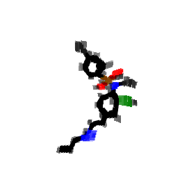 C=CCNCCc1ccc(N(CCC)S(=O)(=O)c2ccc(C(C)C)cc2)cc1.Cl